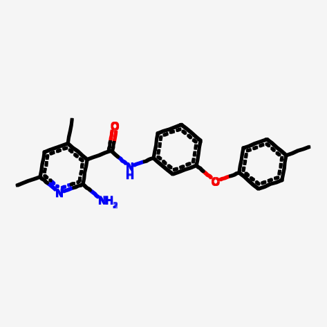 Cc1ccc(Oc2cccc(NC(=O)c3c(C)cc(C)nc3N)c2)cc1